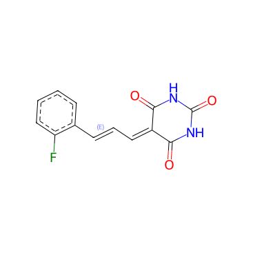 O=C1NC(=O)C(=C/C=C/c2ccccc2F)C(=O)N1